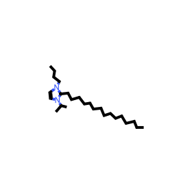 CCCCCCCCCCCCCCCC1N(CCCC)C=CN1C(C)C